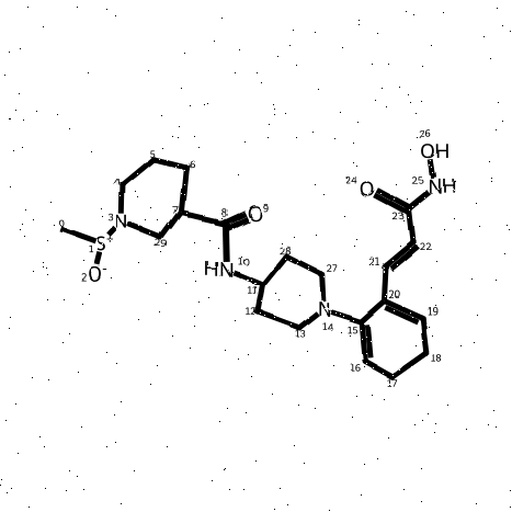 C[S+]([O-])N1CCCC(C(=O)NC2CCN(C3=CCCC=C3/C=C/C(=O)NO)CC2)C1